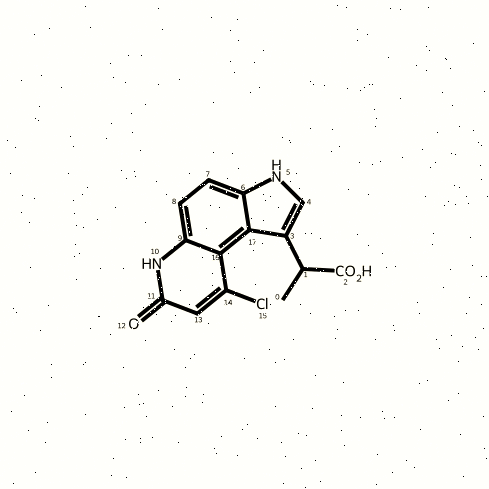 CC(C(=O)O)c1c[nH]c2ccc3[nH]c(=O)cc(Cl)c3c12